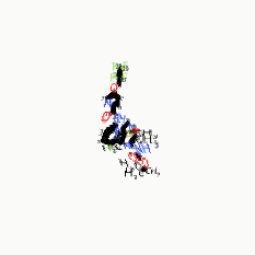 CC(C)(C)OC(=O)NC1=N[C@](C)(c2nc(NC(=O)c3ccc(OCC(F)(F)C(F)F)cn3)ccc2F)[C@@H]2CCN=[S@]2(=O)C1(C)C